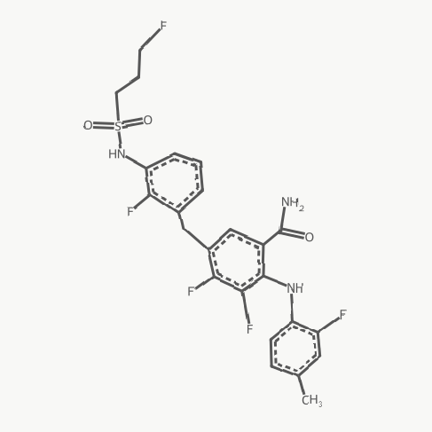 Cc1ccc(Nc2c(C(N)=O)cc(Cc3cccc(NS(=O)(=O)CCCF)c3F)c(F)c2F)c(F)c1